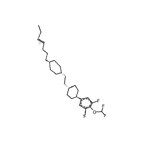 CC/C=C/CCC[C@H]1CC[C@H](CC[C@H]2CC[C@H](c3cc(F)c(OC(F)F)c(F)c3)CC2)CC1